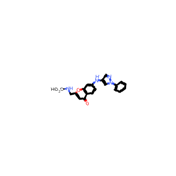 O=C(O)NCc1cc(=O)c2ccc(Nc3cnn(-c4ccccc4)c3)cc2o1